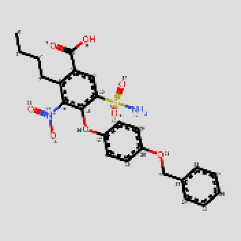 CCCCc1c(C(=O)O)cc(S(N)(=O)=O)c(Oc2ccc(OCc3ccccc3)cc2)c1[N+](=O)[O-]